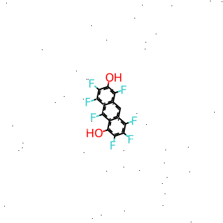 Oc1c(F)c(F)c2c(F)c3c(O)c(F)c(F)c(F)c3cc2c1F